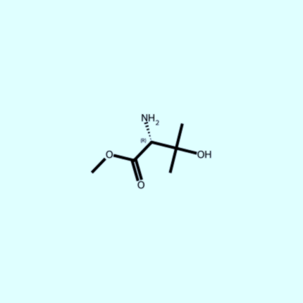 COC(=O)[C@H](N)C(C)(C)O